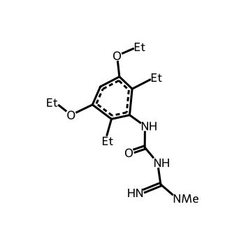 CCOc1cc(OCC)c(CC)c(NC(=O)NC(=N)NC)c1CC